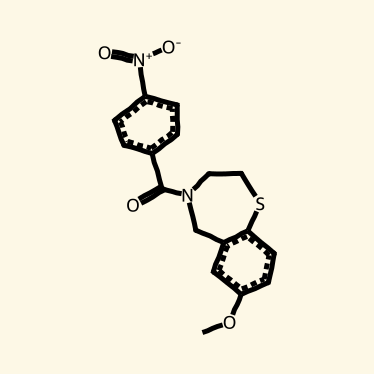 COc1ccc2c(c1)CN(C(=O)c1ccc([N+](=O)[O-])cc1)CCS2